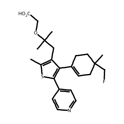 Cc1sc(-c2ccncc2)c(C2=CCC(C)(CF)CC2)c1CC(C)(C)OCC(=O)O